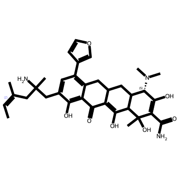 C/C=C(/C)CC(C)(N)Cc1cc(-c2ccoc2)c2c(c1O)C(=O)C1=C(O)C3C(CC1C2)[C@H](N(C)C)C(O)=C(C(N)=O)C3(C)O